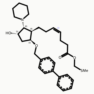 CSCOC(=O)CC/C=C\CC[C@@H]1[C@@H](N2CCCCC2)[C@@H](O)C[C@@H]1OCc1ccc(-c2ccccc2)cc1